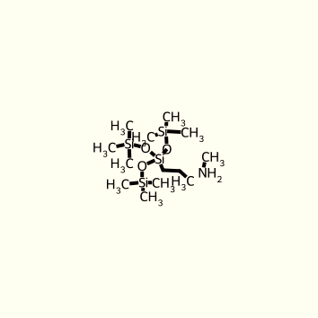 CCC[Si](O[Si](C)(C)C)(O[Si](C)(C)C)O[Si](C)(C)C.CN